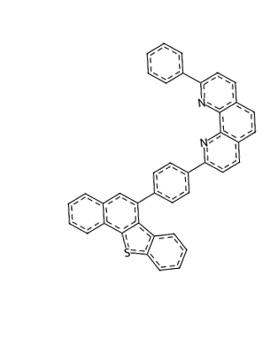 c1ccc(-c2ccc3ccc4ccc(-c5ccc(-c6cc7ccccc7c7sc8ccccc8c67)cc5)nc4c3n2)cc1